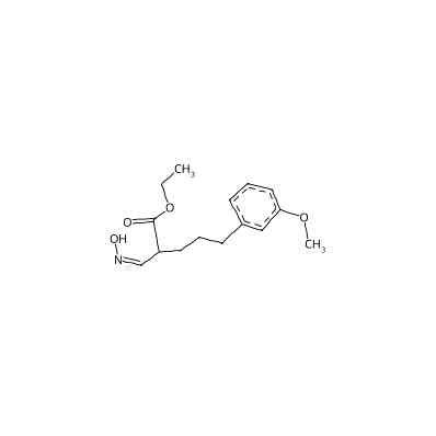 CCOC(=O)C(/C=N\O)CCCc1cccc(OC)c1